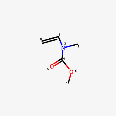 C=CN(C)C(=O)OC